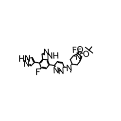 CN(c1ccc(-c2cc(F)c(-c3cn[nH]c3)c3cn[nH]c23)nn1)C1CC2CC(F)(F)C(C1)N2C(=O)OC(C)(C)C